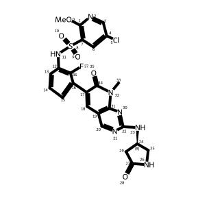 COc1ncc(Cl)cc1S(=O)(=O)Nc1cccc(-c2cc3cnc(N[C@H]4CNC(=O)C4)nc3n(C)c2=O)c1F